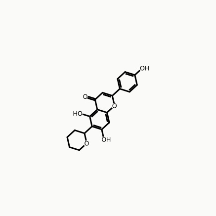 O=c1cc(-c2ccc(O)cc2)oc2cc(O)c(C3CCCCO3)c(O)c12